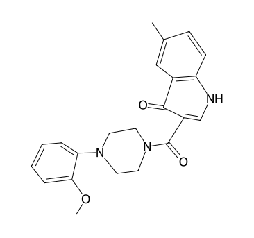 COc1ccccc1N1CCN(C(=O)c2c[nH]c3ccc(C)cc3c2=O)CC1